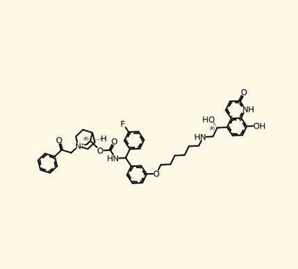 O=C(NC(c1cccc(F)c1)c1cccc(OCCCCCCNC[C@H](O)c2ccc(O)c3[nH]c(=O)ccc23)c1)O[C@H]1C[N+]2(CC(=O)c3ccccc3)CCC1CC2